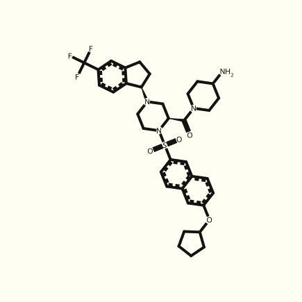 NC1CCN(C(=O)[C@@H]2CN([C@@H]3CCc4cc(C(F)(F)F)ccc43)CCN2S(=O)(=O)c2ccc3cc(OC4CCCC4)ccc3c2)CC1